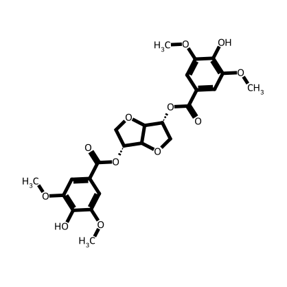 COc1cc(C(=O)O[C@@H]2COC3C2OC[C@H]3OC(=O)c2cc(OC)c(O)c(OC)c2)cc(OC)c1O